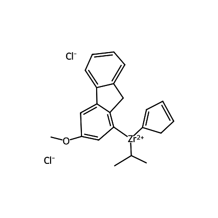 COc1cc2c([c]([Zr+2]([C]3=CC=CC3)[CH](C)C)c1)Cc1ccccc1-2.[Cl-].[Cl-]